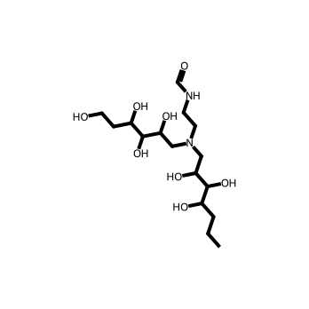 CCCC(O)C(O)C(O)CN(CCNC=O)CC(O)C(O)C(O)CCO